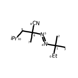 CCC(C)(C)/N=N/C(C)(C#N)CC(C)C